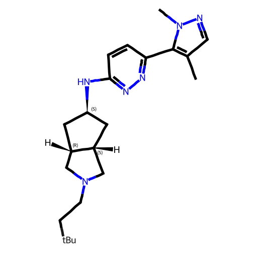 Cc1cnn(C)c1-c1ccc(N[C@H]2C[C@@H]3CN(CCC(C)(C)C)C[C@@H]3C2)nn1